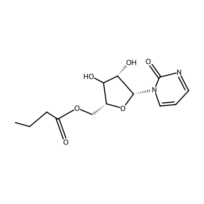 CCCC(=O)OC[C@H]1O[C@@H](n2cccnc2=O)[C@@H](O)C1O